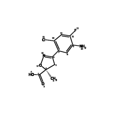 C[C@@]1(C(=O)O)CC(c2cc(N)c(F)cc2Cl)=NO1